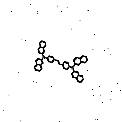 C(=Cc1ccc(N(c2ccc3ccccc3c2)c2ccc3ccccc3c2)cc1)C1=CCC(N(c2ccc3ccccc3c2)c2ccc3ccccc3c2)C=C1